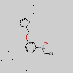 N#CC[C@@H](O)c1cccc(OCc2cccs2)c1